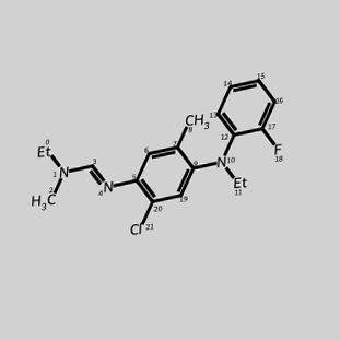 CCN(C)C=Nc1cc(C)c(N(CC)c2ccccc2F)cc1Cl